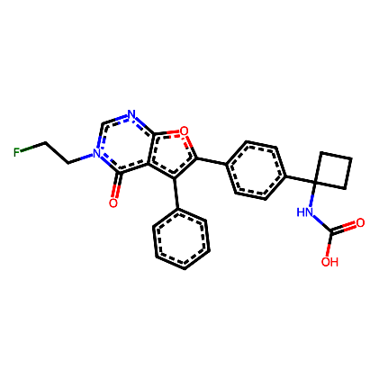 O=C(O)NC1(c2ccc(-c3oc4ncn(CCF)c(=O)c4c3-c3ccccc3)cc2)CCC1